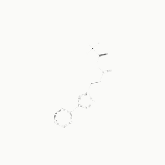 O=C(CC[n+]1cc(-c2ncccn2)sn1)OC(=O)C(F)(F)F